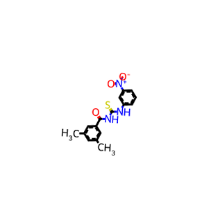 Cc1cc(C)cc(C(=O)NC(=S)Nc2cccc([N+](=O)[O-])c2)c1